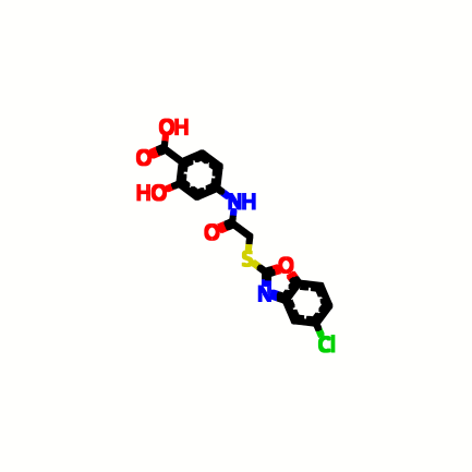 O=C(CSc1nc2cc(Cl)ccc2o1)Nc1ccc(C(=O)O)c(O)c1